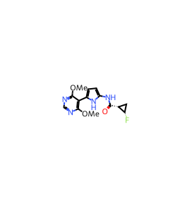 COc1ncnc(OC)c1-c1ccc(NC(=O)[C@@H]2C[C@@H]2F)[nH]1